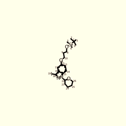 CC(C)(C)[Si](C)(C)OCCCOc1ccc2c(c1)c(I)nn2C1CCCCO1